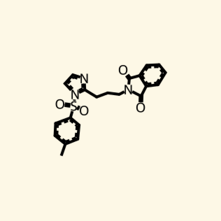 Cc1ccc(S(=O)(=O)n2ccnc2CCCN2C(=O)c3ccccc3C2=O)cc1